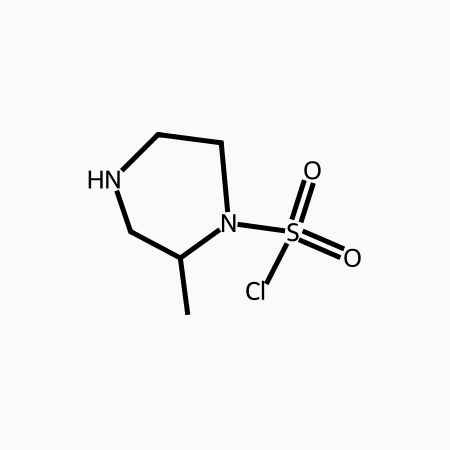 CC1CNCCN1S(=O)(=O)Cl